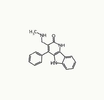 CNCc1c(-c2ccccc2)c2[nH]c3ccccc3c2[nH]c1=O